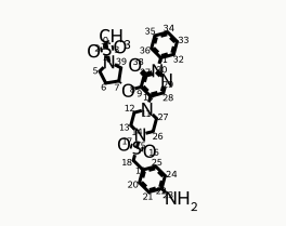 CS(=O)(=O)N1CC[C@@H](Oc2c(N3CCN(S(=O)(=O)Cc4ccc(N)cc4)CC3)cnn(-c3ccccc3)c2=O)C1